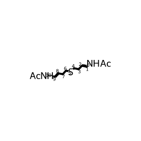 CC(=O)NC=CCCSCCC=CNC(C)=O